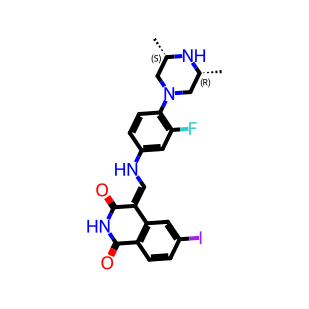 C[C@@H]1CN(c2ccc(NC=C3C(=O)NC(=O)c4ccc(I)cc43)cc2F)C[C@H](C)N1